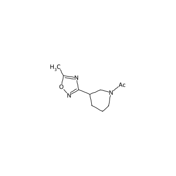 CC(=O)N1CCCC(c2noc(C)n2)C1